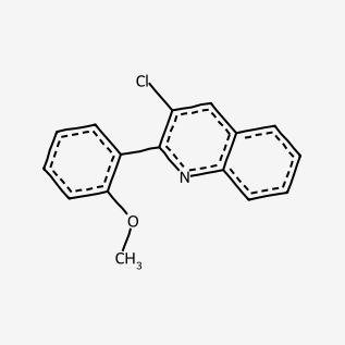 COc1ccccc1-c1nc2ccccc2cc1Cl